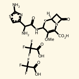 COC1=C(C(=O)O)N2C(=O)C[C@@H]2SC1NC(=O)C(N)c1csc(N)n1.O=C(O)C(F)(F)F.O=C(O)C(F)(F)F